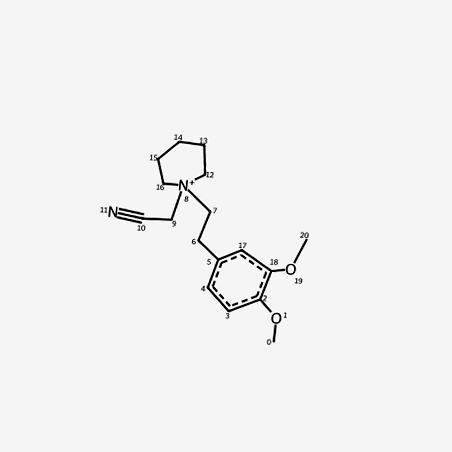 COc1ccc(CC[N+]2(CC#N)CCCCC2)cc1OC